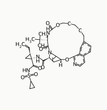 C=C[C@@H]1C[C@]1(NC(=O)[C@@H]1C[C@H]2Oc3nccc4ccc(cc34)CCCCCOC(=O)N[C@@H](C(C)(C)C)C(=O)N1C2I)C(=O)NS(=O)(=O)C1CC1